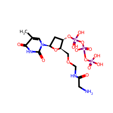 Cc1cn([C@H]2C[C@H](OP(=O)(O)OP(=O)(O)OP(=O)(O)O)[C@@H](COCNC(=O)CN)O2)c(=O)[nH]c1=O